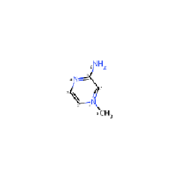 C[n+]1ccnc(N)c1